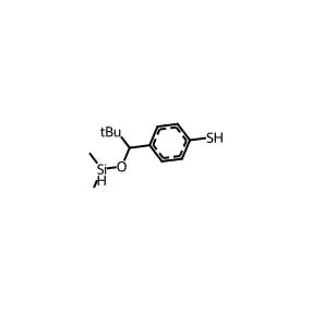 C[SiH](C)OC(c1ccc(S)cc1)C(C)(C)C